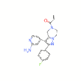 C=CC(=O)N1CCn2nc(-c3ccc(F)cc3)c(-c3ccnc(N)c3)c2C1